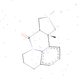 CN1C[C@@H]2C(=O)N3CCCc4cccc(c43)[C@H]2C1